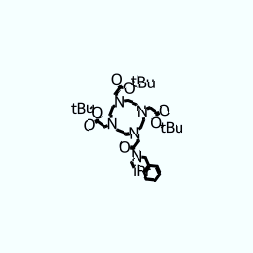 CC(C)CN(Cc1ccccc1)C(=O)CN1CCN(CC(=O)OC(C)(C)C)CCN(CC(=O)OC(C)(C)C)CCN(CC(=O)OC(C)(C)C)CC1